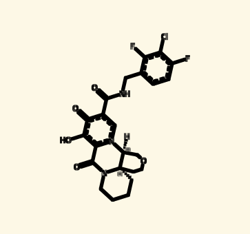 O=C(NCc1ccc(F)c(Cl)c1F)c1cn2c(c(O)c1=O)C(=O)N1CCCC[C@]13CCOC[C@H]23